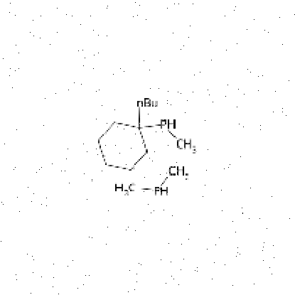 CCCCC1(PC)CCCCC1.CPC